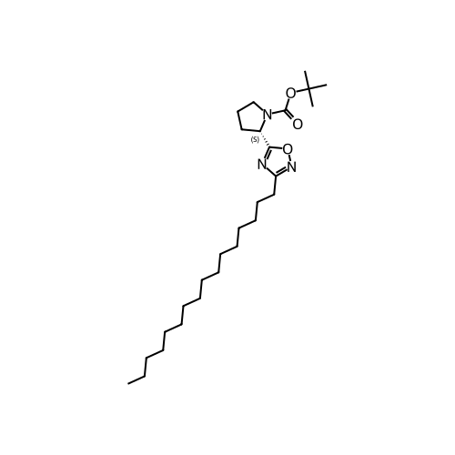 CCCCCCCCCCCCCCCCc1noc([C@@H]2CCCN2C(=O)OC(C)(C)C)n1